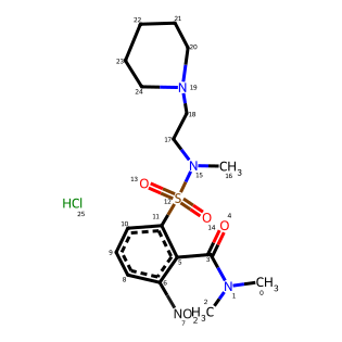 CN(C)C(=O)c1c([N+](=O)[O-])cccc1S(=O)(=O)N(C)CCN1CCCCC1.Cl